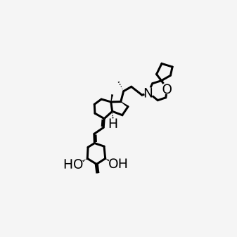 C=C1[C@H](O)CC(=CC=C2CCC[C@]3(C)[C@@H]([C@H](C)CCN4CCOC5(CCCC5)C4)CC[C@@H]23)C[C@@H]1O